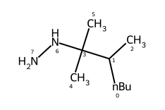 CCCCC(C)C(C)(C)NN